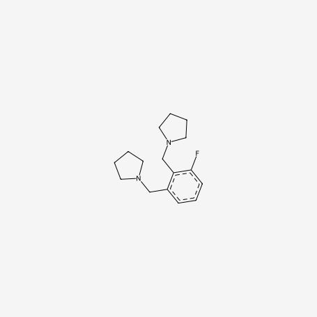 Fc1cccc(CN2CCCC2)c1CN1CCCC1